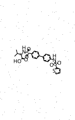 CC(C)[C@H](NS(=O)(=O)c1ccc(-c2ccc(NS(=O)(=O)c3cccs3)cc2)cc1)C(=O)O